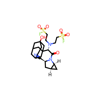 N#C[C@@H]1C[C@@H]2C[C@@H]2N1C(=O)[C@@H](N(CCS(=O)(=O)F)CCS(=O)(=O)F)C12CC3CC(CC(O)(C3)C1)C2